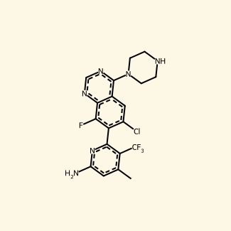 Cc1cc(N)nc(-c2c(Cl)cc3c(N4CCNCC4)ncnc3c2F)c1C(F)(F)F